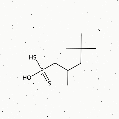 CC(CC(C)(C)C)CP(O)(=S)S